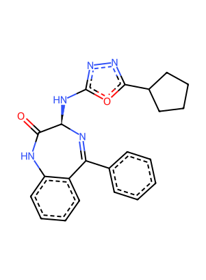 O=C1Nc2ccccc2C(c2ccccc2)=N[C@@H]1Nc1nnc(C2CCCC2)o1